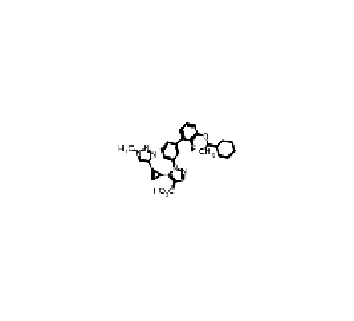 CC(Oc1cccc(-c2cccc(-n3ncc(C(=O)O)c3[C@@H]3C[C@H]3c3cn(C)nn3)c2)c1F)C1CCCCC1